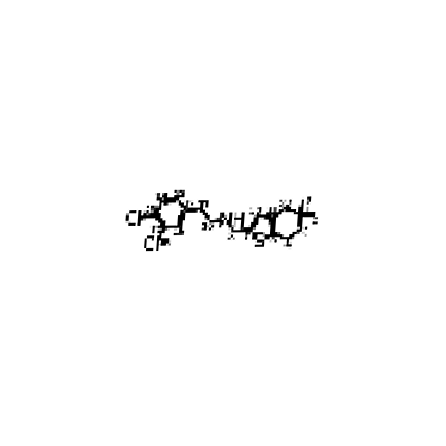 CC1(C)CCc2sc(CNCCc3ccc(Cl)c(Cl)c3)cc2C1